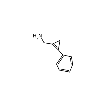 NCC1=C(c2ccccc2)C1